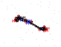 CCc1c2c(nc3ccc(OC(=O)NCCNC(=O)CCCCCCCCCCC(=O)N4CCC(C(=O)O)(C(=O)O)CC4)cc13)-c1cc3c(c(=O)n1C2)COC(=O)[C@]3(O)CC